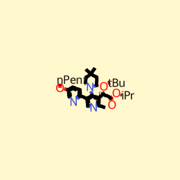 CCCCCOc1ccc(-c2cnc(C)c([C@H](OC(C)(C)C)C(=O)OC(C)C)c2N2CCC(C)(C)CC2)nc1